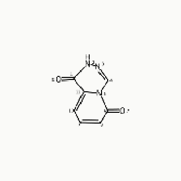 O=c1[nH]ncn2c(=O)cccc12